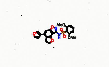 COc1cccc(OC)c1S(=O)(=O)Nc1noc2cc(-c3ccoc3)c3c(c12)OCC3